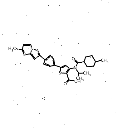 Cc1ccn2nc(-c3ccc(-c4cc(N(C(=O)C5CCC(C)CC5)C(C)C)c(C(=O)O)s4)cc3)cc2n1